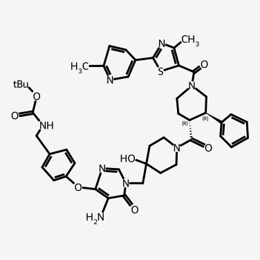 Cc1ccc(-c2nc(C)c(C(=O)N3CC[C@@H](C(=O)N4CCC(O)(Cn5cnc(Oc6ccc(CNC(=O)OC(C)(C)C)cc6)c(N)c5=O)CC4)[C@H](c4ccccc4)C3)s2)cn1